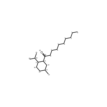 CCCCCCCCCC(=O)C1CC(C)CCC1C(C)C